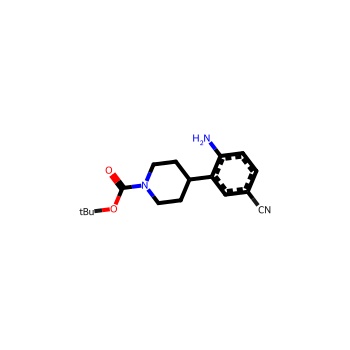 CC(C)(C)OC(=O)N1CCC(c2cc(C#N)ccc2N)CC1